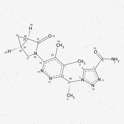 Cc1c([C@@H](C)n2cc(C(N)=O)nn2)nnc(N2C[C@H]3C[C@H]3C2=O)c1C